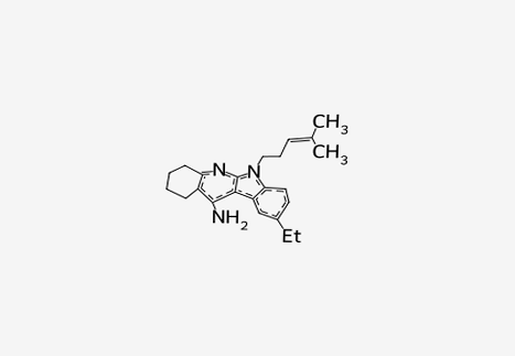 CCc1ccc2c(c1)c1c(N)c3c(nc1n2CCC=C(C)C)CCCC3